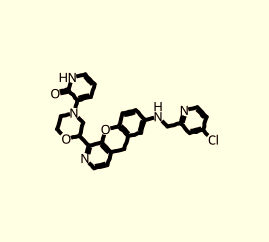 O=c1[nH]cccc1N1CCOC(c2nccc3c2Oc2ccc(NCc4cc(Cl)ccn4)cc2C3)C1